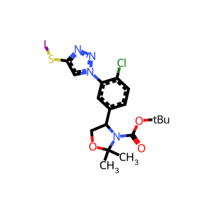 CC(C)(C)OC(=O)N1C(c2ccc(Cl)c(-n3cc(SI)nn3)c2)COC1(C)C